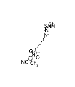 CCNC(=S)N1CCN(CCCCCCCCC2=C(C)C(=O)N(c3ccc(C#N)c(C(F)(F)F)c3)C2=O)CC1